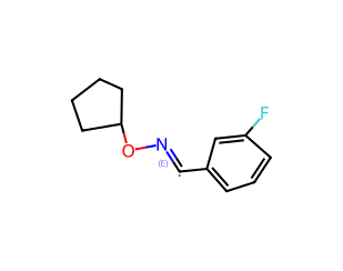 Fc1cccc(/[C]=N/OC2CCCC2)c1